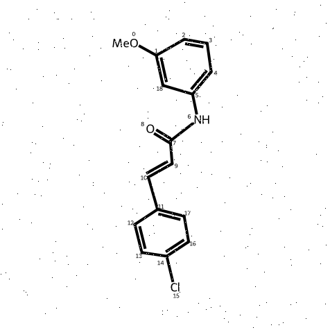 COc1cccc(NC(=O)C=Cc2ccc(Cl)cc2)c1